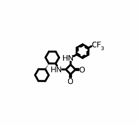 O=C1C(=O)C(NC2CCCC[C@H]2C2CCCCC2)C1Nc1ccc(C(F)(F)F)cc1